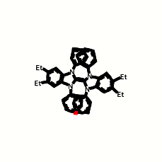 CCc1cc2c(cc1CC)N(c1ccccc1)C(=C1N(c3ccccc3)c3cc(CC)c(CC)cc3N1c1ccccc1)N2c1ccccc1